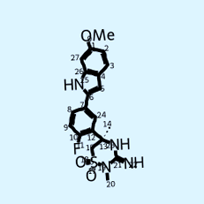 COc1ccc2cc(-c3ccc(F)c([C@]4(C)CS(=O)(=O)N(C)C(=N)N4)c3)[nH]c2c1